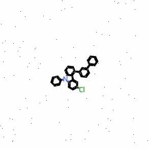 Clc1ccc2c(c1)c1c(-c3cccc(-c4ccccc4)c3)cccc1n2-c1ccccc1